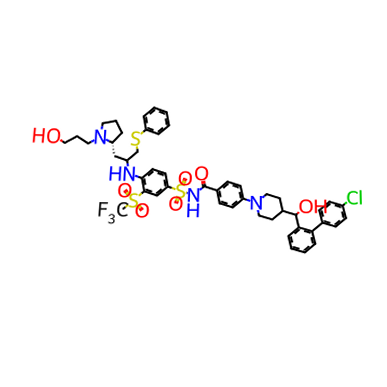 O=C(NS(=O)(=O)c1ccc(NC(CSc2ccccc2)C[C@H]2CCCN2CCCO)c(S(=O)(=O)C(F)(F)F)c1)c1ccc(N2CCC(C(O)c3ccccc3-c3ccc(Cl)cc3)CC2)cc1